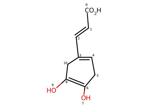 O=C(O)C=CC1=CCC(O)=C(O)C1